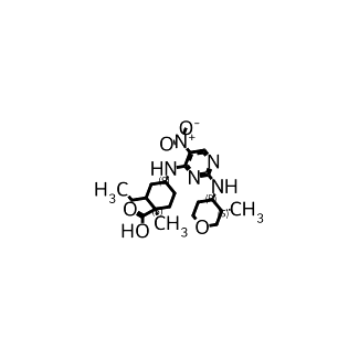 CCC1C[C@@H](Nc2nc(N[C@@H]3CCOC[C@H]3C)ncc2[N+](=O)[O-])CC[C@]1(C)C(=O)O